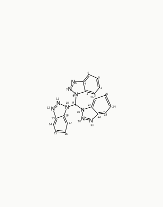 c1ccc2c(c1)nnn2[C](n1nnc2ccccc21)n1nnc2ccccc21